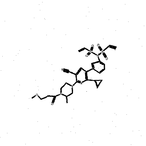 C=CS(=O)(=O)N(c1cccc(-c2cc(C#N)c(N3CCN(C(=O)CCOC)C(C)C3)nc2C2CC2)c1)S(=O)(=O)C=C